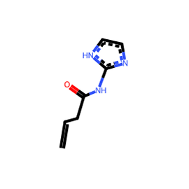 C=CCC(=O)Nc1ncc[nH]1